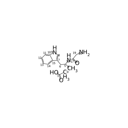 CC(=O)O.CC(Cc1c[nH]c2ccccc12)NC(=O)CN